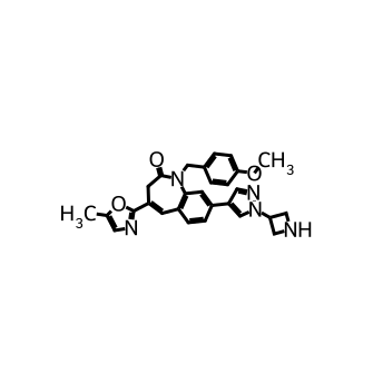 COc1ccc(CN2C(=O)CC(c3ncc(C)o3)=Cc3ccc(-c4cnn(C5CNC5)c4)cc32)cc1